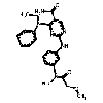 CCN(c1ccccc1)c1nc(Nc2cccc(N(C)C(=O)COC)c2)ncc1C(N)=O